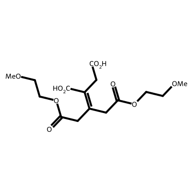 COCCOC(=O)CC(CC(=O)OCCOC)=C(CC(=O)O)C(=O)O